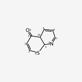 O=C1C=CSC2N=CC=CC12